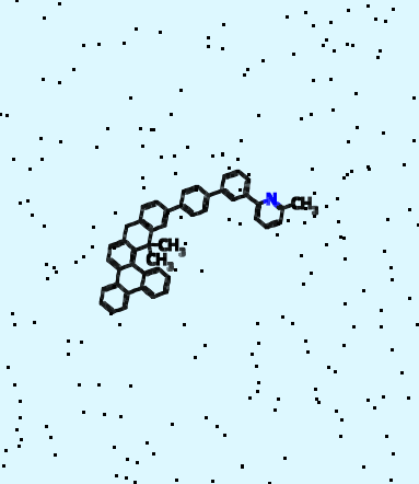 Cc1cccc(-c2cccc(-c3ccc(-c4ccc5c(c4)C(C)(C)c4c(ccc6c7ccccc7c7ccccc7c46)C5)cc3)c2)n1